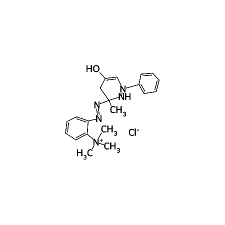 CC1(/N=N/c2ccccc2[N+](C)(C)C)CC(O)=CN(c2ccccc2)N1.[Cl-]